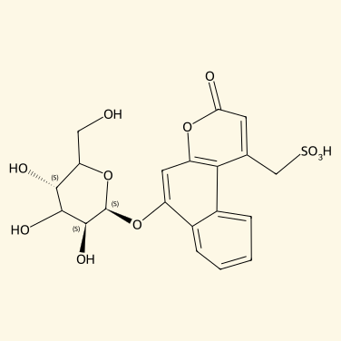 O=c1cc(CS(=O)(=O)O)c2c(cc(O[C@@H]3OC(CO)[C@@H](O)C(O)[C@@H]3O)c3ccccc32)o1